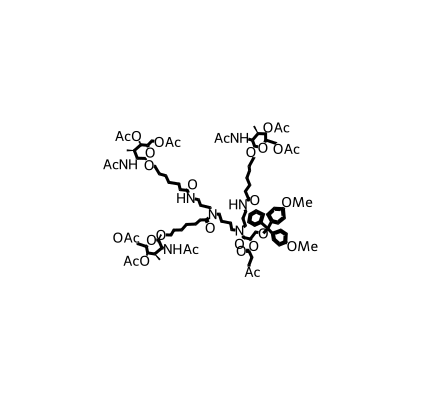 COc1ccc(C(OCC(OC(=O)CCC(C)=O)C(=O)N(CCCCN(CCCNC(=O)CCCCCCO[C@@H]2OC(COC(C)=O)[C@H](OC(C)=O)[C@H](C)C2NC(C)=O)C(=O)CCCCCCO[C@@H]2OC(COC(C)=O)[C@H](OC(C)=O)[C@H](C)C2NC(C)=O)CCCNC(=O)CCCCCCO[C@@H]2OC(COC(C)=O)[C@H](OC(C)=O)[C@H](C)C2NC(C)=O)(c2ccccc2)c2ccc(OC)cc2)cc1